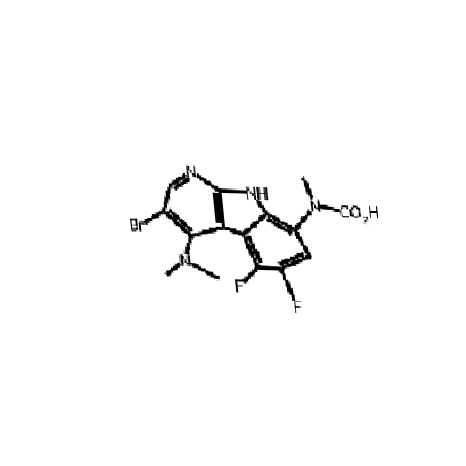 CN(C)c1c(Br)cnc2[nH]c3c(N(C)C(=O)O)cc(F)c(F)c3c12